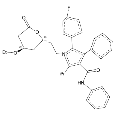 CCO[C@H]1CC(=O)O[C@H](CCn2c(-c3ccc(F)cc3)c(-c3ccccc3)c(C(=O)Nc3ccccc3)c2C(C)C)C1